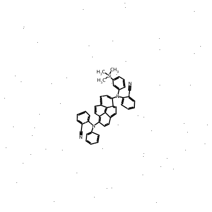 C[Si](C)(C)c1cccc(N(c2ccccc2C#N)c2ccc3ccc4c(N(c5ccccc5)c5ccccc5C#N)ccc5ccc2c3c54)c1